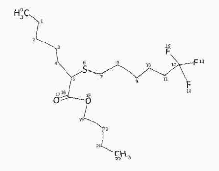 CCCCCC(SCCCCCC(F)(F)F)C(=O)OCCCC